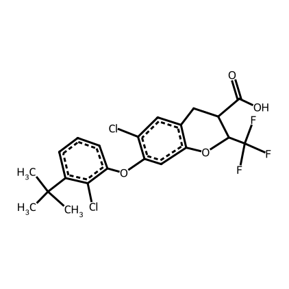 CC(C)(C)c1cccc(Oc2cc3c(cc2Cl)CC(C(=O)O)C(C(F)(F)F)O3)c1Cl